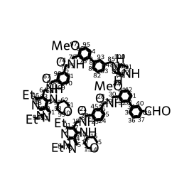 CCc1nc2c(cnn2CC)c(NC2CCOCC2)c1CNC(=O)c1cccc(C(=O)NCc2cc(-c3cccc(C=O)c3)ccc2OC)c1.CCc1nc2c(cnn2CC)c(NC2CCOCC2)c1CNC(=O)c1cccc(C(=O)NCc2cc(-c3cccc(CN4C[C@@H]5C[C@H]4CN5)c3)ccc2OC)c1